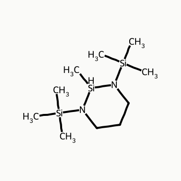 C[SiH]1N([Si](C)(C)C)CCCN1[Si](C)(C)C